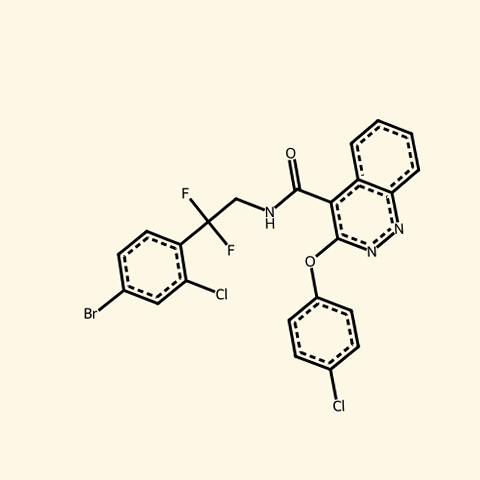 O=C(NCC(F)(F)c1ccc(Br)cc1Cl)c1c(Oc2ccc(Cl)cc2)nnc2ccccc12